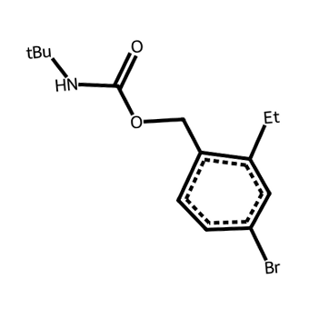 CCc1cc(Br)ccc1COC(=O)NC(C)(C)C